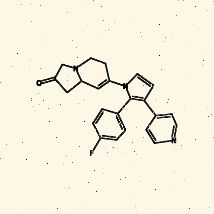 O=C1CC2C=C(n3ccc(-c4ccncc4)c3-c3ccc(F)cc3)CCN2C1